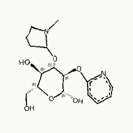 CN1CCCC1O[C@H]1[C@H](O)[C@@H](CO)O[C@@H](O)[C@@H]1Oc1ccccn1